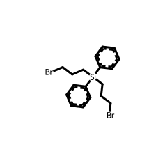 BrCCC[Si](CCCBr)(c1ccccc1)c1ccccc1